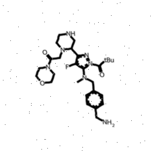 CN(Cc1ccc(CN)cc1)c1c(F)c(C2CNCCN2CC(=O)N2CCOCC2)nn1C(=O)C(C)(C)C